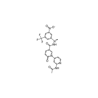 CC(=O)Nc1cc(-n2cc(C(=O)N[C@H](C)c3cc([N+](=O)[O-])cc(C(F)(F)F)c3)ccc2=O)ccn1